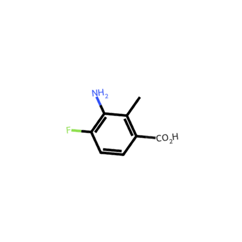 Cc1c(C(=O)O)ccc(F)c1N